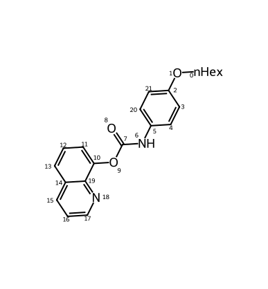 CCCCCCOc1ccc(NC(=O)Oc2cccc3cccnc23)cc1